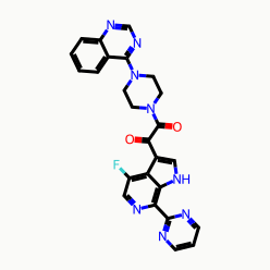 O=C(C(=O)N1CCN(c2ncnc3ccccc23)CC1)c1c[nH]c2c(-c3ncccn3)ncc(F)c12